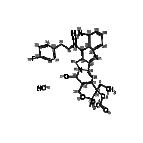 CC[C@@]1(OC(C)=O)C(=O)OCc2c1cc1n(c2=O)Cc2c-1nc1cccc(N)c1c2NCCc1ccc(F)cc1.Cl